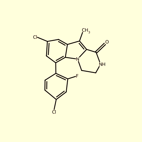 Cc1c2n(c3c(-c4ccc(Cl)cc4F)cc(Cl)cc13)CCNC2=O